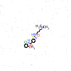 Cc1cccc(Cl)c1NC(=O)c1ccc2nc(NC(=O)CCCCN(C)C)sc2c1